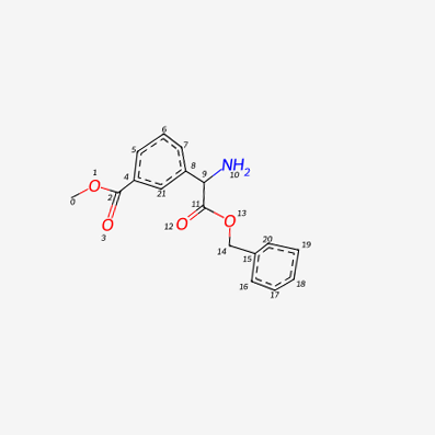 COC(=O)c1cccc(C(N)C(=O)OCc2ccccc2)c1